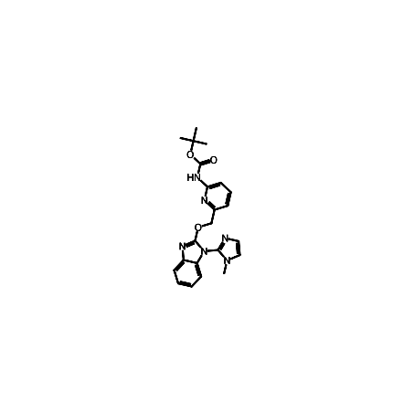 Cn1ccnc1-n1c(OCc2cccc(NC(=O)OC(C)(C)C)n2)nc2ccccc21